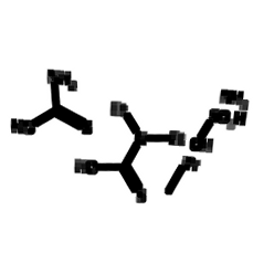 CC(C)C.CCN(CC)C(O)=S.N.NC(O)=S.O=S(=O)(O)O